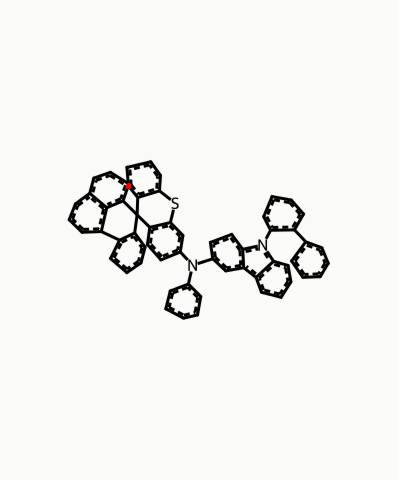 c1ccc(-c2ccccc2-n2c3ccccc3c3cc(N(c4ccccc4)c4ccc5c(c4)Sc4ccccc4C54c5ccccc5-c5cccc6cccc4c56)ccc32)cc1